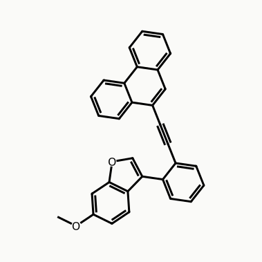 COc1ccc2c(-c3ccccc3C#Cc3cc4ccccc4c4ccccc34)coc2c1